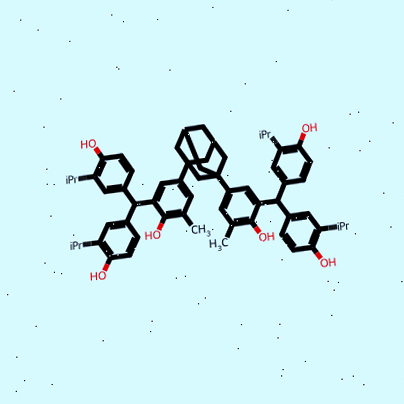 Cc1cc(C23CC4CC(C2)CC(c2cc(C)c(O)c(C(c5ccc(O)c(C(C)C)c5)c5ccc(O)c(C(C)C)c5)c2)(C4)C3)cc(C(c2ccc(O)c(C(C)C)c2)c2ccc(O)c(C(C)C)c2)c1O